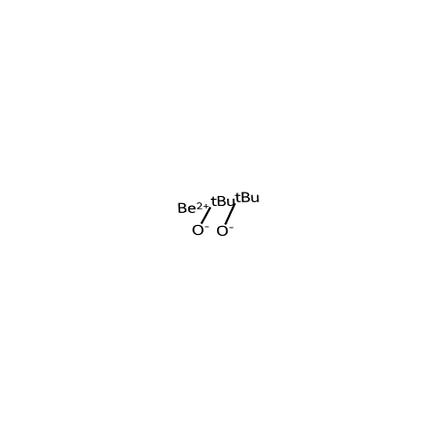 CC(C)(C)[O-].CC(C)(C)[O-].[Be+2]